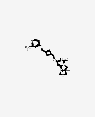 O=c1nc(OCC2C=C(COc3ccnc(C(F)(F)F)c3)C2)cc2n1C[C@H]1COCN21